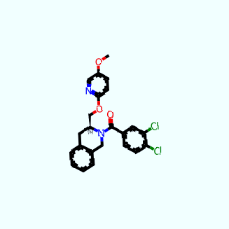 COc1ccc(OC[C@@H]2Cc3ccccc3CN2C(=O)c2ccc(Cl)c(Cl)c2)nc1